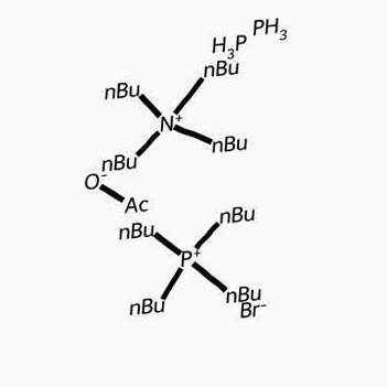 CC(=O)[O-].CCCC[N+](CCCC)(CCCC)CCCC.CCCC[P+](CCCC)(CCCC)CCCC.P.P.[Br-]